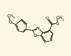 COC(=O)c1cccc2oc(-c3ccc(OC)cc3)nc12